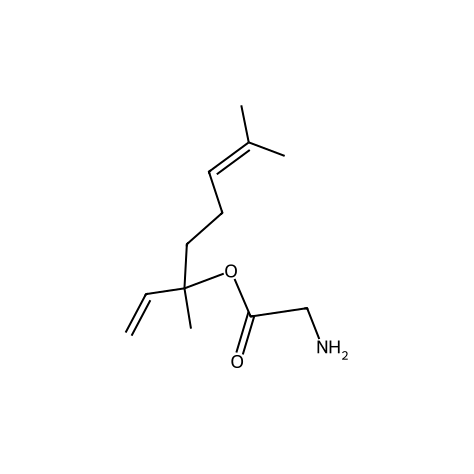 C=CC(C)(CCC=C(C)C)OC(=O)CN